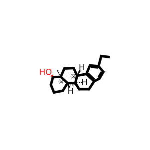 CCc1[c]cc2c(c1)[C@H]1CC[C@]3(C)C(O)CCC[C@H]3[C@@H]1CC2